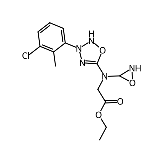 CCOC(=O)CN(C1=NN(c2cccc(Cl)c2C)NO1)C1NO1